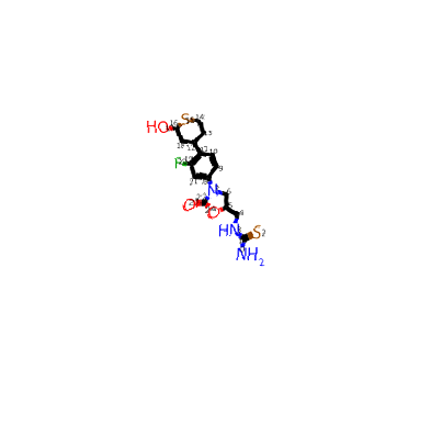 NC(=S)NCC1CN(c2ccc(C3CCSC(O)C3)c(F)c2)C(=O)O1